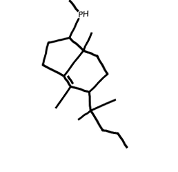 CCCC(C)(C)C1CCC2(C)C(=C1C)CCC2PC